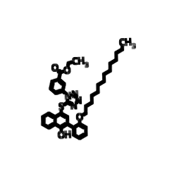 CCCCCCCCCCCCCCOc1ccccc1-c1cc(Sc2nnnn2-c2cccc(C(=O)OCC)c2)c2ccccc2c1O